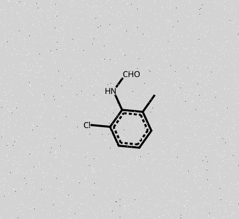 Cc1cccc(Cl)c1NC=O